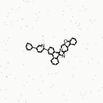 c1ccc(-c2ccc(-c3ccc4c(c3)c3ccccc3c3nc5cc6c(cn5c43)oc3ccccc36)nc2)cc1